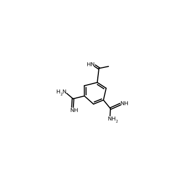 CC(=N)c1cc(C(=N)N)cc(C(=N)N)c1